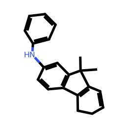 CC1(C)C2=C(CCC=C2)c2ccc(Nc3ccccc3)cc21